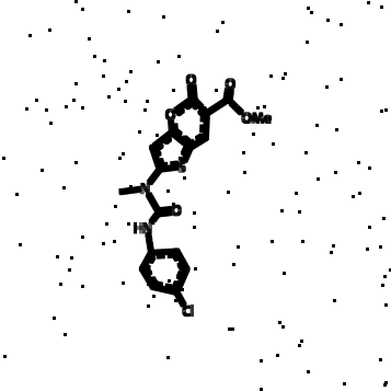 COC(=O)c1cc2sc(N(C)C(=O)Nc3ccc(Cl)cc3)cc2oc1=O